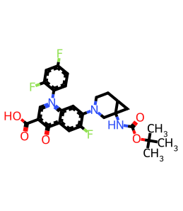 CC(C)(C)OC(=O)NC12CC1CCN(c1cc3c(cc1F)c(=O)c(C(=O)O)cn3-c1ccc(F)cc1F)C2